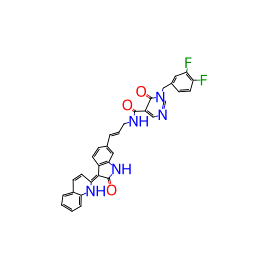 O=C1Nc2cc(C=CCNC(=O)c3cncn(Cc4ccc(F)c(F)c4)c3=O)ccc2C1=C1C=Cc2ccccc2N1